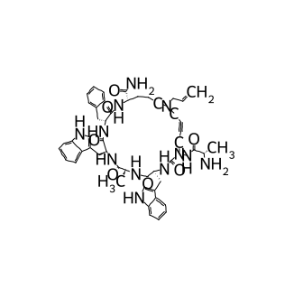 C=CCN1CC#CCN(NC(=O)[C@H](C)N)C(=O)N[C@H](Cc2c[nH]c3ccccc23)C(=O)N[C@@H](C)C(=O)N[C@@H](Cc2c[nH]c3ccccc23)C(=O)N[C@H](Cc2ccccc2)C(=O)N[C@H](C(N)=O)CCC1